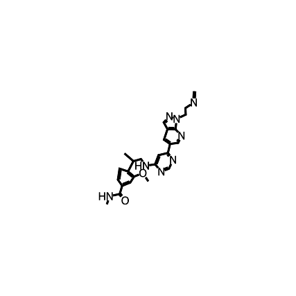 C=NCCn1ncc2cc(-c3cc(NCC(C)c4ccc(C(=O)NC)cc4OC)ncn3)cnc21